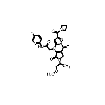 COCC(C)N1Cc2c(n(CC(=O)Nc3ccc(F)cn3)c3cc(C(=O)N4CCC4)nn3c2=O)C1=O